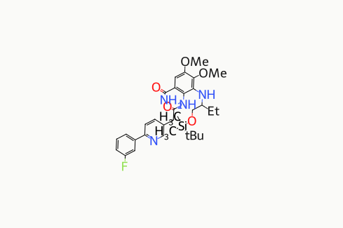 CCC(CO[Si](C)(C)C(C)(C)C)Nc1c(NC(=O)Cc2ccc(-c3cccc(F)c3)nc2)c(C(N)=O)cc(OC)c1OC